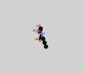 COC(=O)[C@H](Cc1ccc(O)cc1)NCc1cc(C(=O)O)c2cc(-c3ccc(-c4ccccc4)cc3)ccc2n1